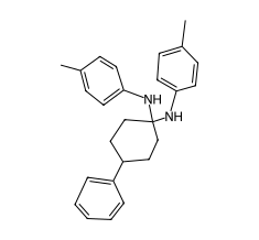 Cc1ccc(NC2(Nc3ccc(C)cc3)CCC(c3ccccc3)CC2)cc1